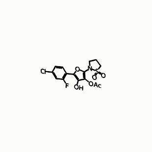 CC(=O)Oc1c(N2CCCS2(=O)=O)oc(-c2ccc(Cl)cc2F)c1O